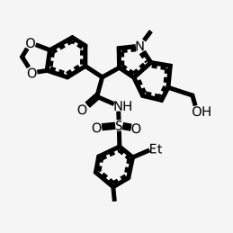 CCc1cc(C)ccc1S(=O)(=O)NC(=O)C(c1ccc2c(c1)OCO2)c1cn(C)c2cc(CO)ccc12